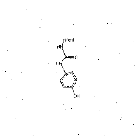 CCCCCNC(=O)Nc1ccc(O)cc1